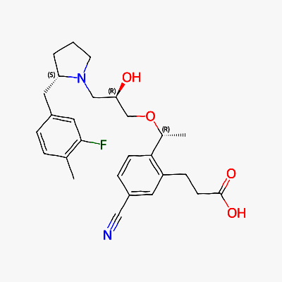 Cc1ccc(C[C@@H]2CCCN2C[C@@H](O)CO[C@H](C)c2ccc(C#N)cc2CCC(=O)O)cc1F